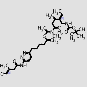 C=C(CCCCc1ccc(NC(=O)C/C(C)=C/C)nn1)SC(=C)N(C)C(=C)CC(=C)/C(=C\C)CNC(=O)OC(C)(C)C